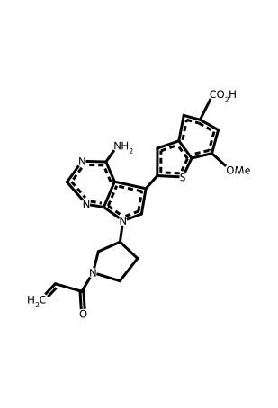 C=CC(=O)N1CCC(n2cc(-c3cc4cc(C(=O)O)cc(OC)c4s3)c3c(N)ncnc32)C1